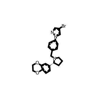 Brc1cnn(-c2ccc(CN3CCC[C@@H]3c3ccc4c(c3)OCCO4)cc2)c1